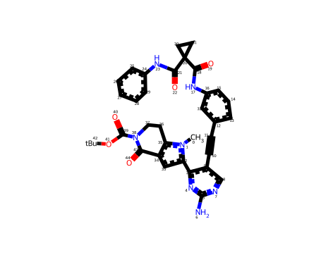 Cn1c(-c2nc(N)ncc2C#Cc2cccc(NC(=O)C3(C(=O)Nc4ccccc4)CC3)c2)cc2c1CCN(C(=O)OC(C)(C)C)C2=O